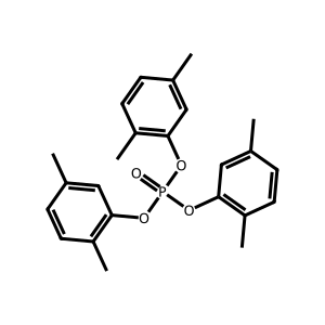 Cc1ccc(C)c(OP(=O)(Oc2cc(C)ccc2C)Oc2cc(C)ccc2C)c1